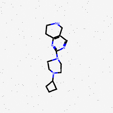 c1nc(N2CCN(C3CCC3)CC2)nc2c1CNCC2